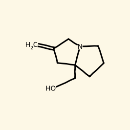 C=C1CN2CCCC2(CO)C1